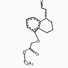 COC(=O)COc1cccc2c1CCC/C2=C/C=O